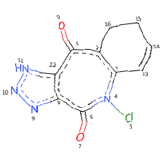 O=c1c2c(n(Cl)c(=O)c3nn[nH]c13)C=CCC2